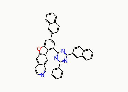 c1ccc(-c2nc(-c3ccc4ccccc4c3)nc(-c3cc(-c4ccc5ccccc5c4)cc4oc5cc6ccncc6cc5c34)n2)cc1